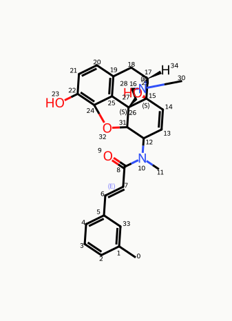 Cc1cccc(/C=C/C(=O)N(C)C2C=C[C@@]3(O)[C@H]4Cc5ccc(O)c6c5[C@@]3(CCN4C)C2O6)c1